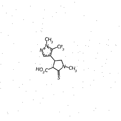 CN1CC(c2cnn(C)c2C(F)(F)F)C(C(=O)O)C1=S